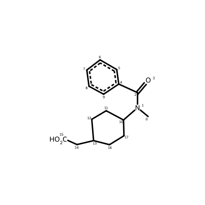 CN(C(=O)c1ccccc1)C1CCC(CC(=O)O)CC1